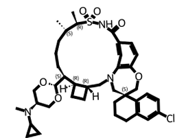 C[C@@H]1[C@@H](C)CCC[C@H]([C@H]2OC[C@H](N(C)C3CC3)CO2)[C@@H]2CC[C@H]2CN2C[C@@]3(CCCc4cc(Cl)ccc43)COc3ccc(cc32)C(=O)NS1(=O)=O